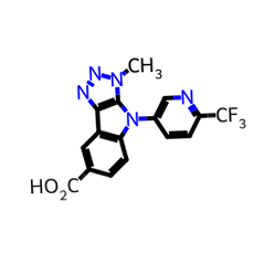 Cn1nnc2c3cc(C(=O)O)ccc3n(-c3ccc(C(F)(F)F)nc3)c21